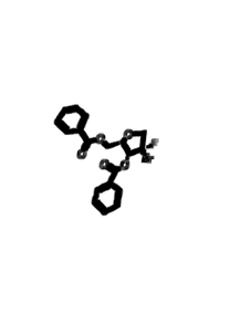 O=C(OC[C@H]1OC[C@@](F)(Br)[C@@H]1OC(=O)c1ccccc1)c1ccccc1